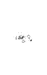 COc1cc2c(cc1CN[C@H]1CCCN(CC3CCC(=O)N3)[C@@H]1c1ccccc1)N(C)C(=O)CC2